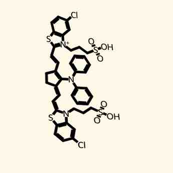 O=S(=O)(O)CCCN1C(=CC=C2CCC(C=Cc3sc4ccc(Cl)cc4[n+]3CCCS(=O)(=O)O)=C2N(c2ccccc2)c2ccccc2)Sc2ccc(Cl)cc21